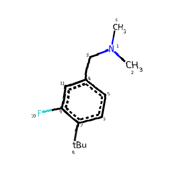 CN(C)Cc1ccc(C(C)(C)C)c(F)c1